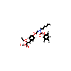 CCCCCCN(CCOc1ccc(CC(OCC)C(=O)O)cc1)C(=O)Oc1cc(C)c(C)cc1C